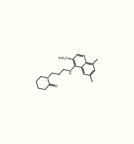 CCOC(=O)c1cnc2c(C)cc(C)cc2c1NCCCN1CCCCC1=O